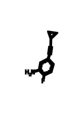 Nc1cc(C#CC2CC2)ccc1F